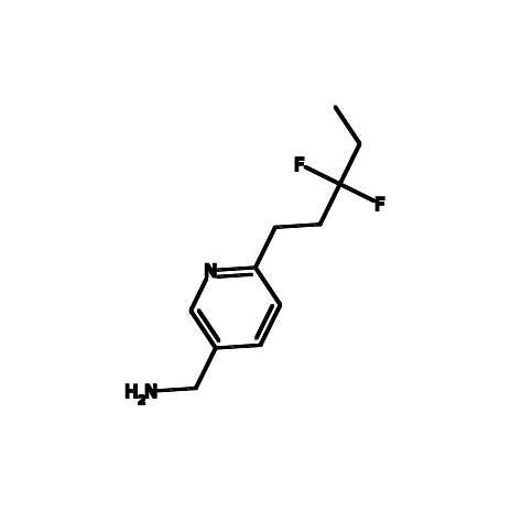 CCC(F)(F)CCc1ccc(CN)cn1